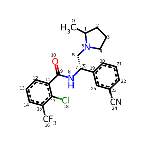 CC1CCCN1C[C@@H](NC(=O)c1cccc(C(F)(F)F)c1Cl)c1cccc(C#N)c1